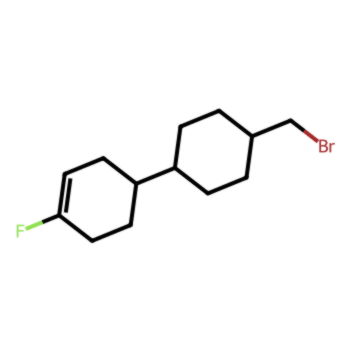 FC1=CCC(C2CCC(CBr)CC2)CC1